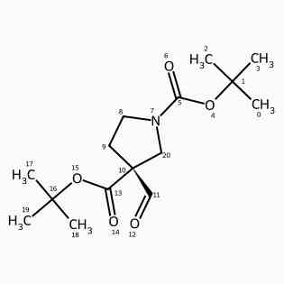 CC(C)(C)OC(=O)N1CC[C@@](C=O)(C(=O)OC(C)(C)C)C1